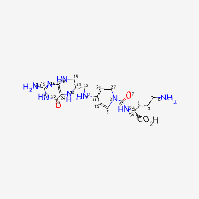 NCCC[C@H](NC(=O)N1C=CC(NCC2CNc3nc(N)[nH]c(=O)c3N2)=CC1)C(=O)O